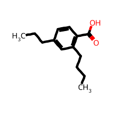 CCCCc1cc(CCC)ccc1C(=O)O